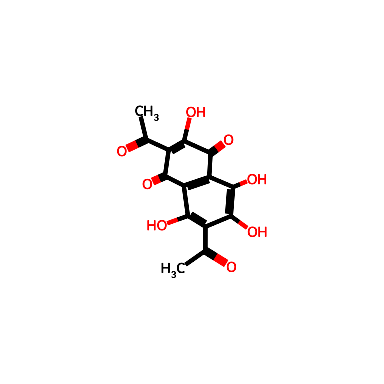 CC(=O)C1=C(O)C(=O)c2c(O)c(O)c(C(C)=O)c(O)c2C1=O